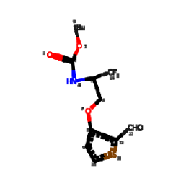 CC(C)(C)OC(=O)NC(COc1ccsc1C=O)C(F)(F)F